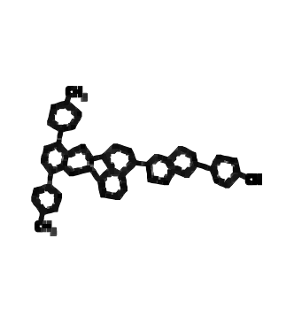 Cc1ccc(-c2ccc(-c3ccc(C)cc3)c3cc4c(cc23)-c2cccc3c(-c5ccc6cc(-c7ccc(C#N)cc7)ccc6c5)ccc-4c23)cc1